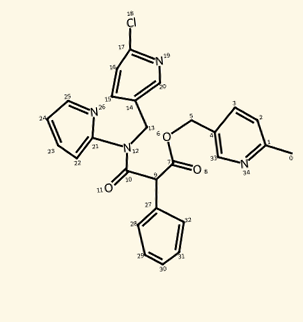 Cc1ccc(COC(=O)C(C(=O)N(Cc2ccc(Cl)nc2)c2ccccn2)c2ccccc2)cn1